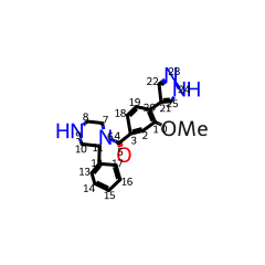 COc1cc(C(=O)N2CCNCC2c2ccccc2)ccc1-c1cn[nH]c1